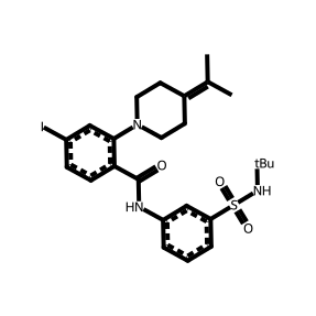 CC(C)=C1CCN(c2cc(I)ccc2C(=O)Nc2cccc(S(=O)(=O)NC(C)(C)C)c2)CC1